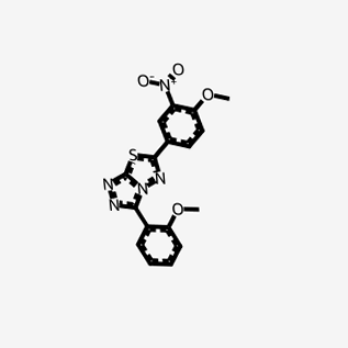 COc1ccccc1-c1nnc2sc(-c3ccc(OC)c([N+](=O)[O-])c3)nn12